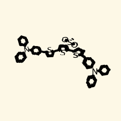 CS(=O)(=O)c1cc(-c2ccc(-c3ccc(N(c4ccccc4)c4ccccc4)cc3)s2)sc1-c1ccc(-c2ccc(N(c3ccccc3)c3ccccc3)cc2)s1